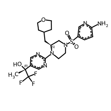 C[C@@](O)(c1cnc(N2CCN(S(=O)(=O)c3ccc(N)nc3)C[C@@H]2CC2CCOCC2)nc1)C(F)(F)F